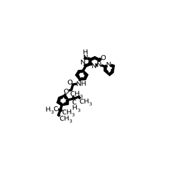 CCC(C)(C)c1ccc(OCC(=O)Nc2ccc(-c3n[nH]c4cc(=O)n(-c5ccccn5)nc34)cc2)c(C(C)(C)CC)c1